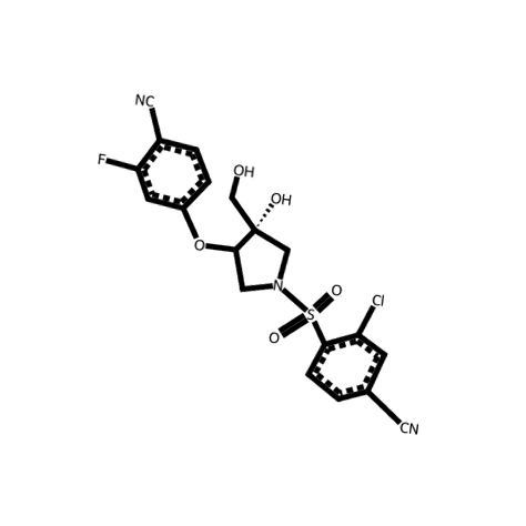 N#Cc1ccc(S(=O)(=O)N2CC(Oc3ccc(C#N)c(F)c3)[C@@](O)(CO)C2)c(Cl)c1